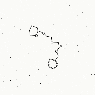 C[C@@H](COCCOC1CCCCO1)OCc1ccccc1